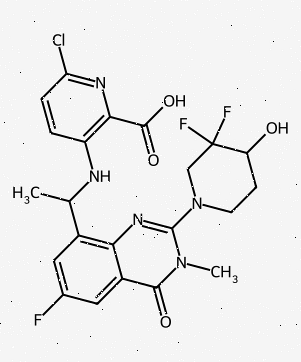 CC(Nc1ccc(Cl)nc1C(=O)O)c1cc(F)cc2c(=O)n(C)c(N3CCC(O)C(F)(F)C3)nc12